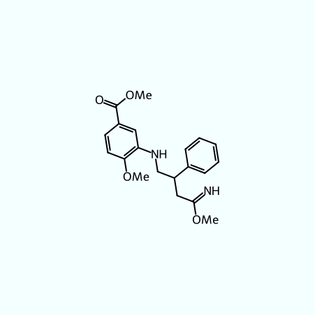 COC(=N)CC(CNc1cc(C(=O)OC)ccc1OC)c1ccccc1